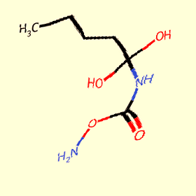 CCCCC(O)(O)NC(=O)ON